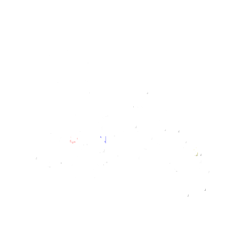 c1ccc(-c2cc(N(c3ccc(-c4ccc5ccccc5c4)cc3)c3cccc4c3oc3ccccc34)ccc2-c2ccc3sc4ccccc4c3c2)cc1